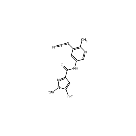 CCCc1cc(C(=O)Nc2cnc(C)c(N=[N+]=[N-])c2)nn1C(C)(C)C